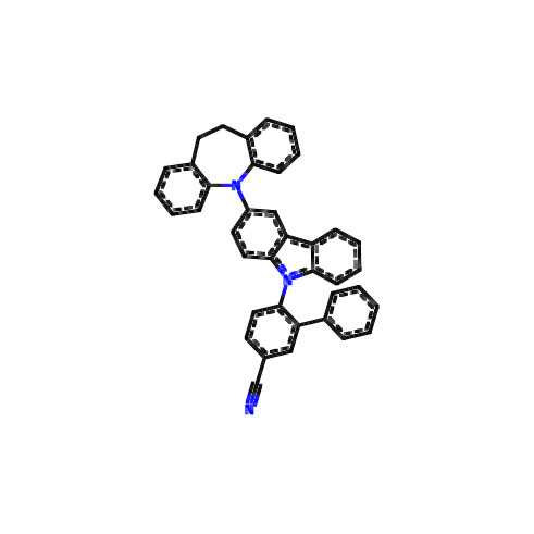 N#Cc1ccc(-n2c3ccccc3c3cc(N4c5ccccc5CCc5ccccc54)ccc32)c(-c2ccccc2)c1